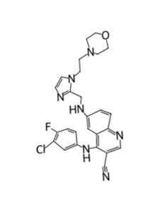 N#Cc1cnc2ccc(NCc3nccn3CCN3CCOCC3)cc2c1Nc1ccc(F)c(Cl)c1